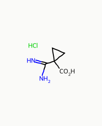 Cl.N=C(N)C1(C(=O)O)CC1